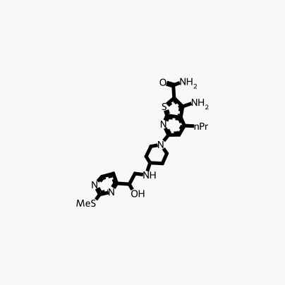 CCCc1cc(N2CCC(NCC(O)c3ccnc(SC)n3)CC2)nc2sc(C(N)=O)c(N)c12